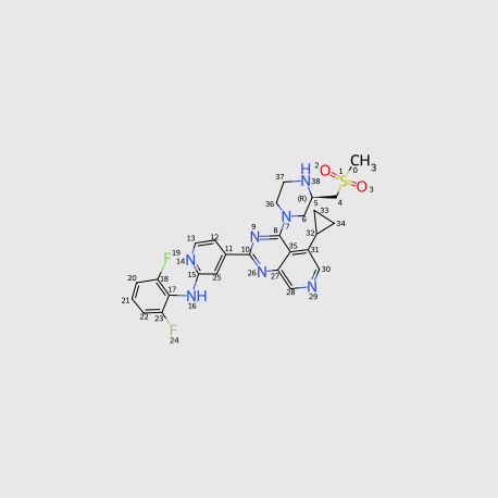 CS(=O)(=O)C[C@H]1CN(c2nc(-c3ccnc(Nc4c(F)cccc4F)c3)nc3cncc(C4CC4)c23)CCN1